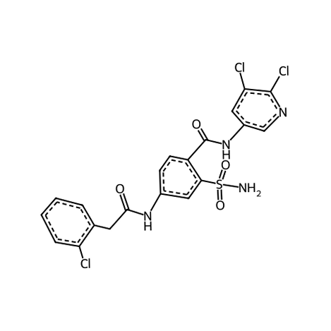 NS(=O)(=O)c1cc(NC(=O)Cc2ccccc2Cl)ccc1C(=O)Nc1cnc(Cl)c(Cl)c1